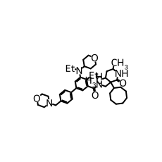 CCc1c(C(=O)NCC2(C3CCCCCCC3)C(=O)NC(C)CC2C)cc(-c2ccc(CN3CCOCC3)cc2)cc1N(CC)C1CCOCC1